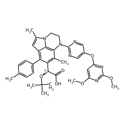 COc1cc(Oc2cnc(N3CCn4c(C)cc5c(-c6ccc(C)cc6)c([C@H](OC(C)(C)C)C(=O)O)c(C)c3c54)nc2)nc(OC)n1